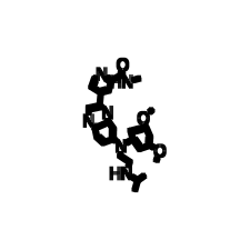 CNC(=O)c1cc(-c2cnc3ccc(N(CCNC(C)C)c4cc(OC)cc(OC)c4)cc3n2)ccn1